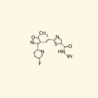 Cc1onc(-c2ccc(F)cn2)c1C=Cc1ncc(C(=O)NC(C)C)s1